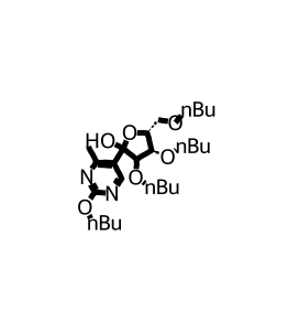 CCCCOC[C@H]1OC(O)(c2cnc(OCCCC)nc2C)C(OCCCC)[C@H]1OCCCC